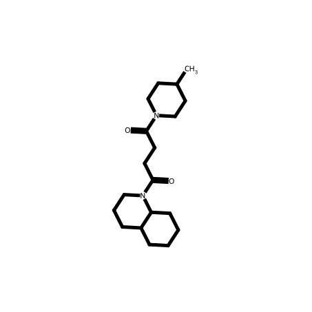 CC1CCN(C(=O)CCC(=O)N2CCCC3CCCCC32)CC1